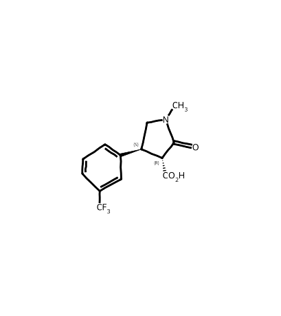 CN1C[C@H](c2cccc(C(F)(F)F)c2)[C@@H](C(=O)O)C1=O